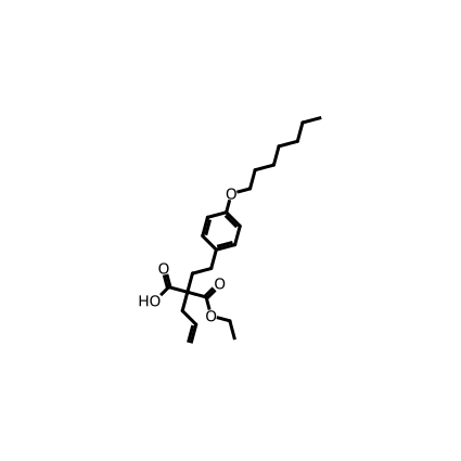 C=CCC(CCc1ccc(OCCCCCCC)cc1)(C(=O)O)C(=O)OCC